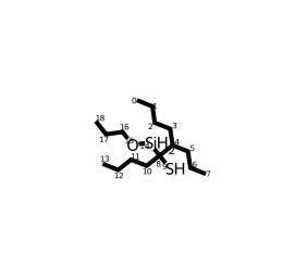 CCCCC(CCC)C(S)(CCCC)[SiH2]OCCC